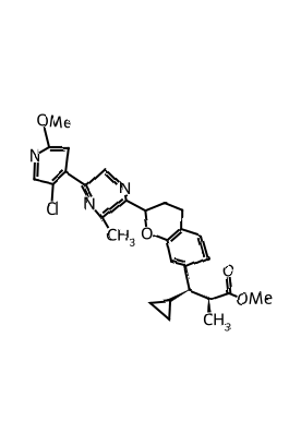 COC(=O)[C@@H](C)[C@H](c1ccc2c(c1)OC(c1ncc(-c3cc(OC)ncc3Cl)nc1C)CC2)C1CC1